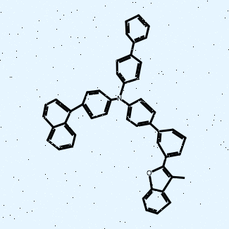 Cc1c(-c2cccc(-c3ccc(N(c4ccc(-c5ccccc5)cc4)c4ccc(-c5cccc6ccccc56)cc4)cc3)c2)oc2ccccc12